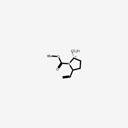 C=CC1CC[C@@H](C(=O)OCC)N1C(=O)OC(C)(C)C